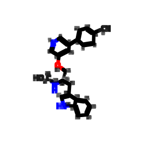 N#Cc1ccc(-c2cncc(OC[C@H](Cc3c[nH]c4ccccc34)NC(=O)O)c2)cc1